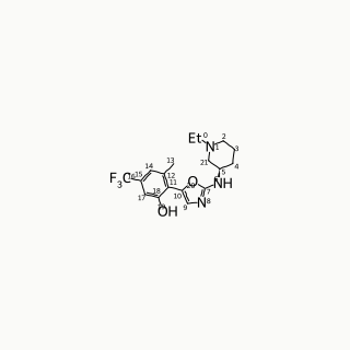 CCN1CCC[C@@H](Nc2ncc(-c3c(C)cc(C(F)(F)F)cc3O)o2)C1